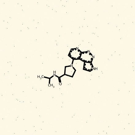 CC(C)NC(=O)C1CCN(c2ccnc3nnc4[nH]ccc4c23)C1